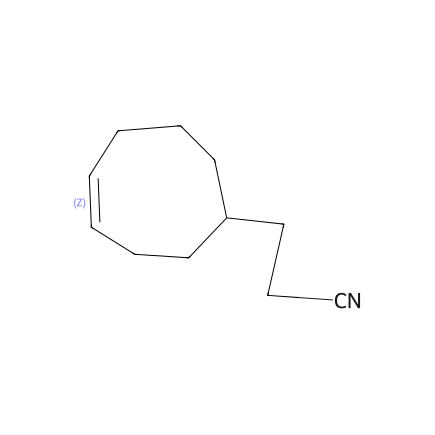 N#CCCC1CC/C=C\CCC1